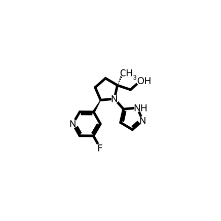 C[C@@]1(CO)CC[C@H](c2cncc(F)c2)N1c1ccn[nH]1